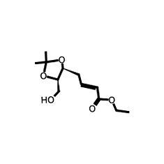 CCOC(=O)/C=C/C[C@@H]1OC(C)(C)O[C@@H]1CO